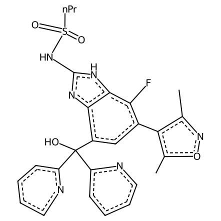 CCCS(=O)(=O)Nc1nc2c(C(O)(c3ccccn3)c3ccccn3)cc(-c3c(C)noc3C)c(F)c2[nH]1